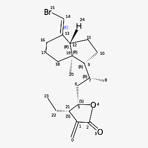 C=C1C(=O)O[C@@H](C[C@@H](C)[C@H]2CC[C@H]3/C(=C/Br)CCC[C@]23C)[C@H]1CC